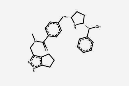 CN(Cc1n[nH]c2c1CCC2)C(=O)c1ccc(C[C@@H]2CC[C@H](C(O)c3ccccc3)N2)cc1